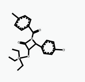 CC[Si](CC)(CC)OC1C(=O)N(C(=O)c2ccc(C)cc2)C1c1ccc(Cl)cc1